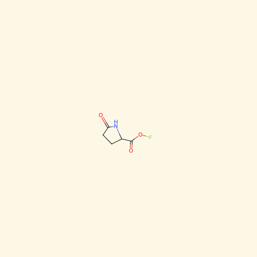 O=C1CCC(C(=O)OF)N1